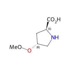 COO[C@H]1CN[C@H](C(=O)O)C1